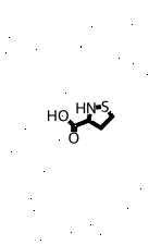 O=C(O)C1CCSN1